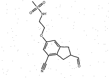 CS(=O)(=O)NCCOc1cc(C#N)c2c(c1)CC(C=O)C2